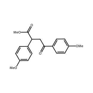 COC(=O)C(CC(=O)c1ccc(OC)cc1)c1ccc(OC)cc1